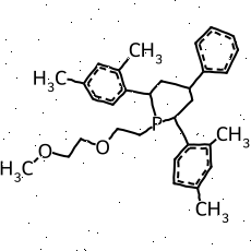 COCCOCCP1C(c2ccc(C)cc2C)CC(c2ccccc2)CC1c1ccc(C)cc1C